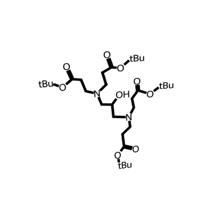 CC(C)(C)OC(=O)CCN(CCC(=O)OC(C)(C)C)CC(O)CN(CCC(=O)OC(C)(C)C)CCC(=O)OC(C)(C)C